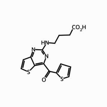 O=C(O)CCCNc1nc(C(=O)c2cccs2)c2sccc2n1